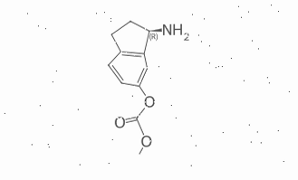 COC(=O)Oc1ccc2c(c1)[C@H](N)CC2